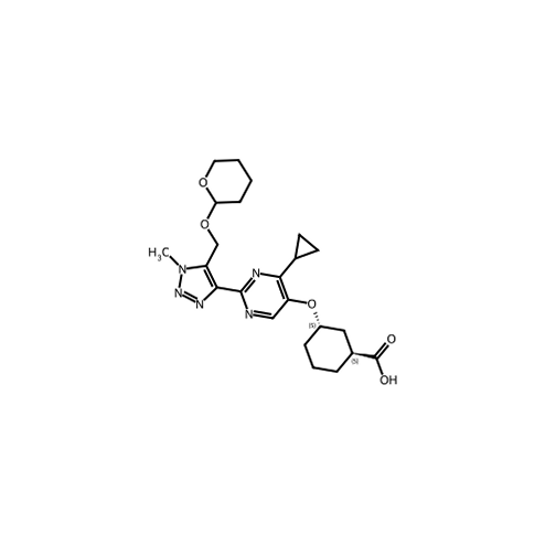 Cn1nnc(-c2ncc(O[C@H]3CCC[C@H](C(=O)O)C3)c(C3CC3)n2)c1COC1CCCCO1